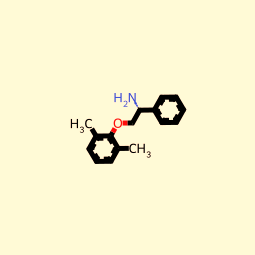 Cc1cccc(C)c1OC[C@H](N)c1ccccc1